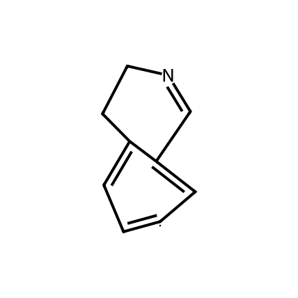 [c]1ccc2c(c1)C=NCC2